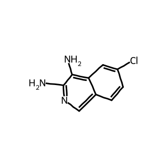 Nc1ncc2ccc(Cl)cc2c1N